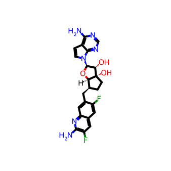 Nc1nc2cc(C[C@@H]3CC[C@@]4(O)[C@@H]3O[C@@H](n3ccc5c(N)ncnc53)[C@@H]4O)c(F)cc2cc1F